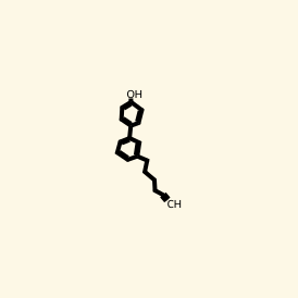 C#CCCCCc1cccc(-c2ccc(O)cc2)c1